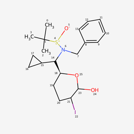 CC(C)(C)[S+]([O-])N(Cc1ccccc1)C(C1CC1)[C@@H]1CCC(I)C(O)O1